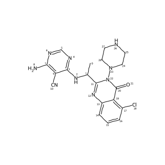 CC(Nc1ncnc(N)c1C#N)c1nc2cccc(Cl)c2c(=O)n1N1CCNCC1